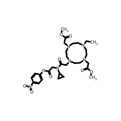 CCN1CCN(CC(=O)OC)CCN(CC(=O)N(CC(=O)Oc2ccc([N+](=O)[O-])cc2)C2CC2)CCN(CC(=O)OC)CC1